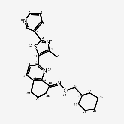 Cc1nc(-c2cccnc2)sc1-c1ccc2c(n1)/C(=N/OCC1CCCCC1)CCC2